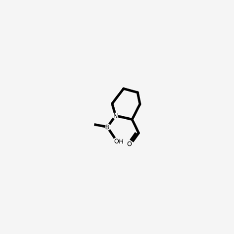 CB(O)N1CCCCC1C=O